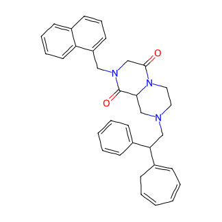 O=C1C2CN(CC(C3=CC=CC=CC3)c3ccccc3)CCN2C(=O)CN1Cc1cccc2ccccc12